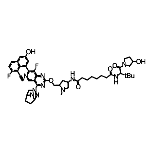 C#Cc1c(F)ccc2cc(O)cc(-c3ncc4c(N5CC6CCC(C5)N6)nc(OCC5C[C@@H](NC(=O)CCCCCCC(=O)NC(C(=O)N6CC[C@@H](O)C6)C(C)(C)C)CN5C)nc4c3F)c12